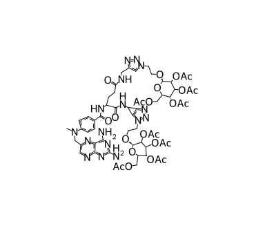 CC(=O)OCC1O[C@@H](OCCn2cc(CNC(=O)CCC(NC(=O)c3ccc(N(C)Cc4cnc5nc(N)nc(N)c5n4)cc3)C(=O)NC3c4nnn(CCO[C@@H]5OC(COC(C)=O)[C@@H](OC(C)=O)C(OC(C)=O)C5OC(C)=O)c43)nn2)C(OC(C)=O)C(OC(C)=O)[C@@H]1OC(C)=O